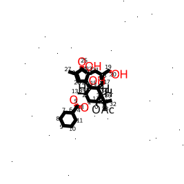 CC(=O)O[C@@]12[C@H](OC(=O)C3CCCCC3)[C@@H](C)[C@@]3(O)[C@@H](C=C(CO)C[C@]4(O)C(=O)C(C)=C[C@@H]34)[C@H]1C2(C)C